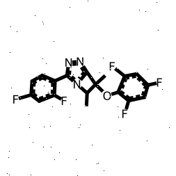 CC1n2c(-c3ccc(F)cc3F)nnc2C1(C)Oc1c(F)cc(F)cc1F